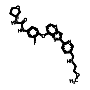 COCCNCc1ccc(-c2cc3nccc(Oc4ccc(NC(=O)N[C@H]5CCOC5)cc4F)c3s2)nc1